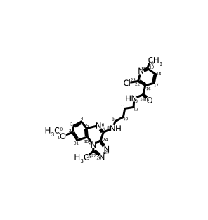 COc1ccc2nc(NCCCCNC(=O)c3ccc(C)nc3Cl)c3nnc(C)n3c2c1